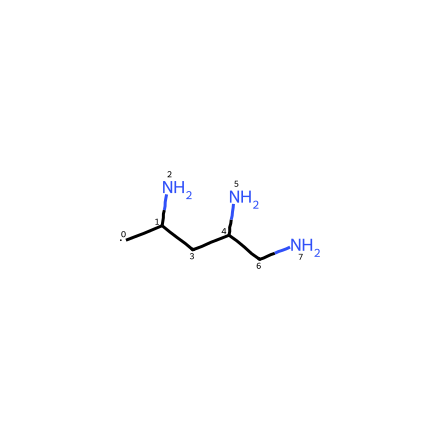 [CH2]C(N)CC(N)CN